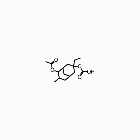 CCC1(OC(=O)O)CC2CC(C)C(OC(C)=O)C(C2)C1